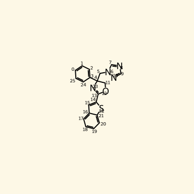 c1ccc(C2(Cn3cncn3)COC(c3cc4ccccc4s3)=N2)cc1